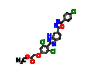 COC(=O)COc1cc(Cl)c(-c2nc3ccc(-c4nnc(-c5ccc(Cl)cc5)o4)cc3[nH]2)c(Cl)c1